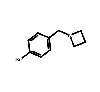 CC(C)(C)c1ccc(CN2CCC2)cc1